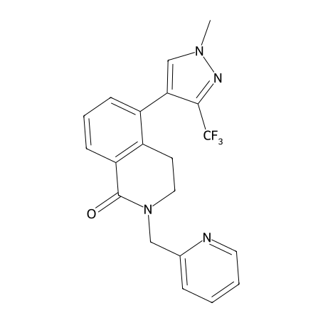 Cn1cc(-c2cccc3c2CCN(Cc2ccccn2)C3=O)c(C(F)(F)F)n1